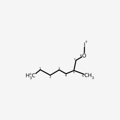 CCCCCC(C)COI